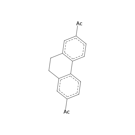 CC(=O)c1ccc2c(c1)CCc1cc(C(C)=O)ccc1-2